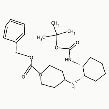 CC(C)(C)OC(=O)N[C@@H]1CCCC[C@@H]1NC1CCN(C(=O)OCc2ccccc2)CC1